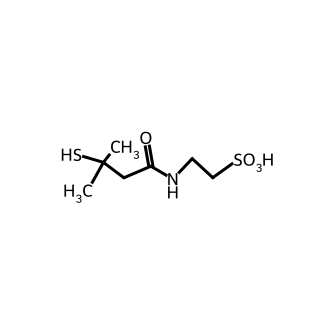 CC(C)(S)CC(=O)NCCS(=O)(=O)O